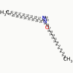 CCCCCCCCCCCCCCCCCCOCCN1CCN=C1CCCCCCCCCCCCCCCCCC